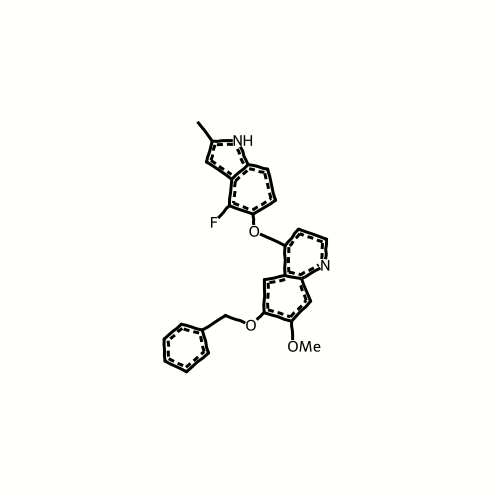 COc1cc2nccc(Oc3ccc4[nH]c(C)cc4c3F)c2cc1OCc1ccccc1